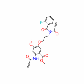 C#CC(=O)Nc1cc(OC)c(OCCCN(C(=O)C#C)C(=O)c2ccccc2F)cc1C(=O)OC